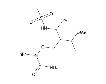 [CH2]CCN(OCC(C(C)OC)C(NS(C)(=O)=O)C(C)C)C(N)=O